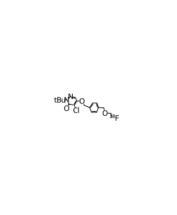 CC(C)(C)n1ncc(OCc2ccc(COCC[18F])cc2)c(Cl)c1=O